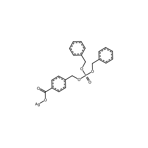 O=C([O][Ag])c1ccc(COP(=O)(OCc2ccccc2)OCc2ccccc2)cc1